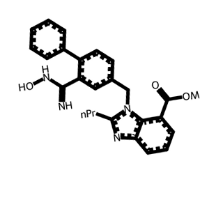 CCCc1nc2cccc(C(=O)OC)c2n1Cc1ccc(-c2ccccc2)c(C(=N)NO)c1